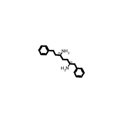 N[C@H](CCc1ccccc1)CC[C@H](N)Cc1ccccc1